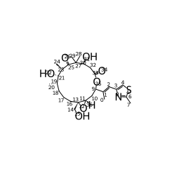 C/C(=C\c1csc(C)n1)C1C[C@@H]2O[C@]2(CO)CCC[C@H](C)[C@H](O)[C@@H](C)C(=O)C(C)(C)[C@@H](O)CC(=O)O1